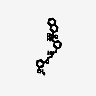 Cc1cccc(OCCNCc2cccc(NS(=O)(=O)c3ccc4ccccc4c3)c2)c1